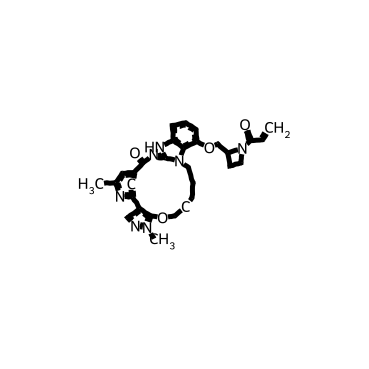 C=CC(=O)N1CCC1COc1cccc2c1N1CCCCCOc3c(cnn3C)-c3cc(cc(C)n3)C(=O)/N=C/1N2